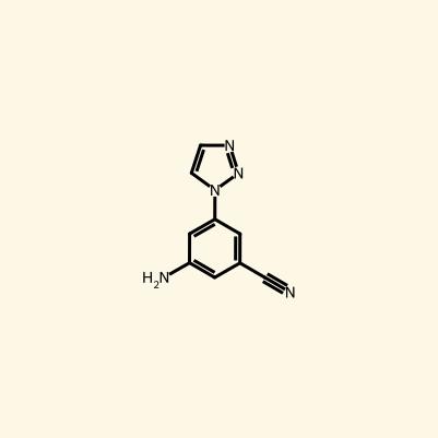 N#Cc1cc(N)cc(-n2ccnn2)c1